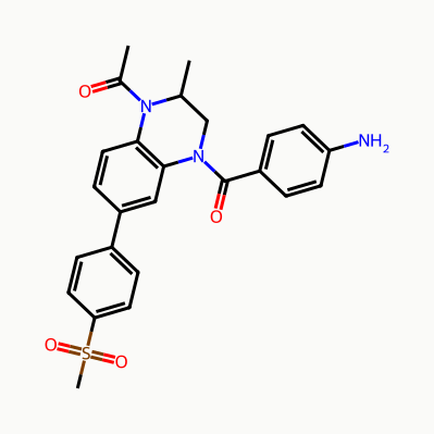 CC(=O)N1c2ccc(-c3ccc(S(C)(=O)=O)cc3)cc2N(C(=O)c2ccc(N)cc2)CC1C